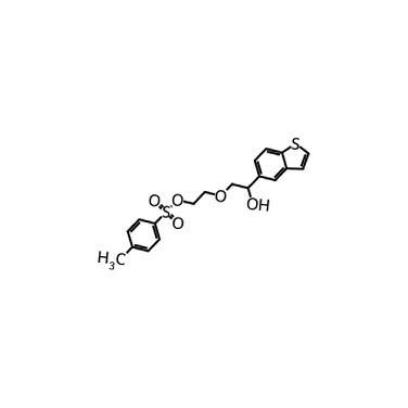 Cc1ccc(S(=O)(=O)OCCOCC(O)c2ccc3sccc3c2)cc1